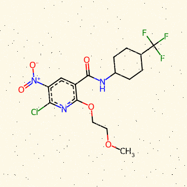 COCCOc1nc(Cl)c([N+](=O)[O-])cc1C(=O)NC1CCC(C(F)(F)F)CC1